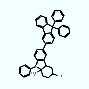 CC1CCC2(C)C(C1)c1cc(-c3ccc4c(c3)-c3ccccc3C4(c3ccccc3)c3ccccc3)ccc1N2c1ccccc1